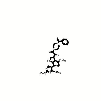 COc1ncc(-c2ncc(OC)c3c2NCC3C(=O)C(=O)N2CCN(C(=O)c3ccccc3)CC2)c(OC)n1